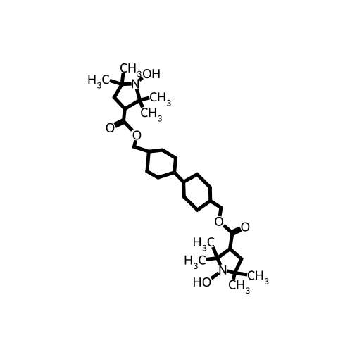 CC1(C)CC(C(=O)OCC2CCC(C3CCC(COC(=O)C4CC(C)(C)N(O)C4(C)C)CC3)CC2)C(C)(C)N1O